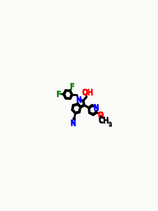 COc1ccc(-c2c(CO)n(Cc3ccc(F)cc3F)c3ccc(C#N)cc23)cn1